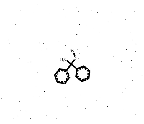 CC(SS)(c1ccccc1)c1ccccc1